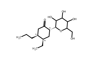 CCC[C@H]1CC(=O)[C@H](C2OC(CO)C(O)C(O)C2O)C[C@H]1CC